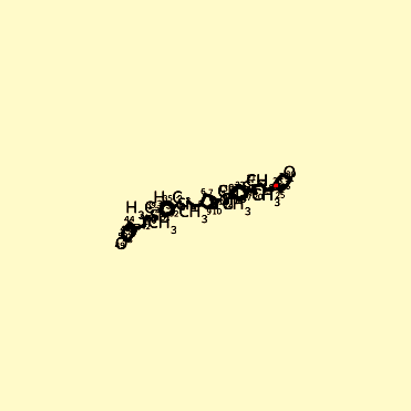 C[Si](C)(CCC1CC2CC1CC2[Si](C)(C)c1ccc([Si](C)(C)CCC2CC3CC2C2OC32)cc1)c1ccc([Si](C)(C)CCC2CC3CC2C2OC32)cc1